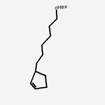 [CH2]CCCCCCCCCCCC1C=CCC1